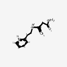 NC(=O)CC(=O)NC[CH]c1ccccn1